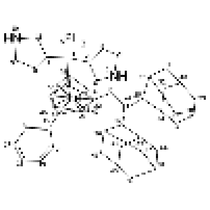 PC(C1CCNC1)(C1CCNC1)[C]12[CH]3[C]4(c5ccccc5)[CH]5[C]1(CP(C1C6CC7CC(C6)CC1C7)C1C6CC7CC(C6)CC1C7)[Fe]53421678[CH]2[CH]1[CH]6[CH]7[CH]28